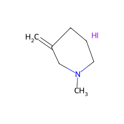 C=C1CCCN(C)C1.I